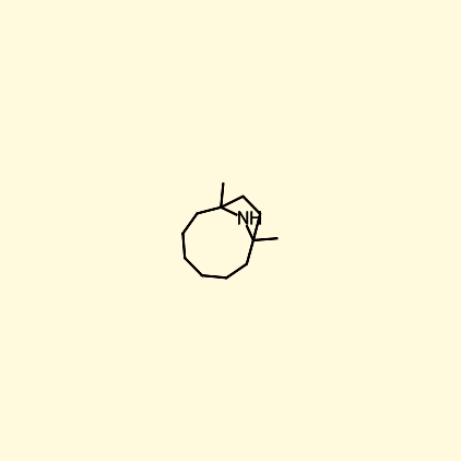 CC12CCCCCCC(C)(CC1)N2